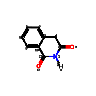 [2H]N1C(=O)Cc2ccccc2C1=O